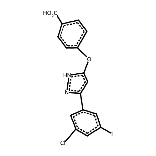 O=C(O)c1ccc(Oc2cc(-c3cc(Cl)cc(I)c3)n[nH]2)cc1